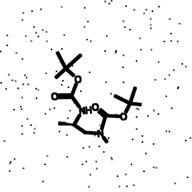 C[C@H](CN(C)C(=O)OC(C)(C)C)NC(=O)OC(C)(C)C